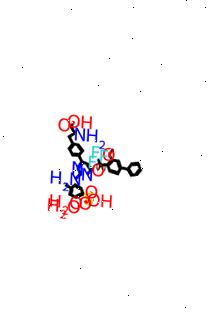 COc1cc(-c2ccccc2)ccc1[C@@H](Oc1cc(-c2ccc(CC(N)C(=O)O)cc2)nc(N)n1)C(F)(F)F.Cc1ccc(S(=O)(=O)O)cc1.O.O